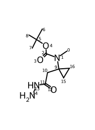 CN(C(=O)OC(C)(C)C)C1(CC(=O)NN)CC1